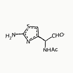 CC(=O)NC([C]=O)c1csc(N)n1